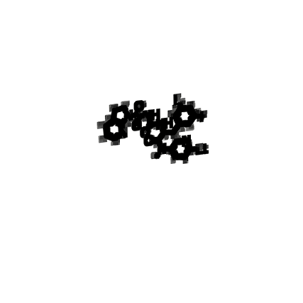 CCc1ccc(N(C)C(=O)C(Cc2cc(F)cc(F)c2)NC(=O)NS(=O)(=O)N2CCc3cccnc32)cn1